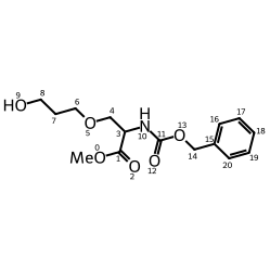 COC(=O)C(COCCCO)NC(=O)OCc1ccccc1